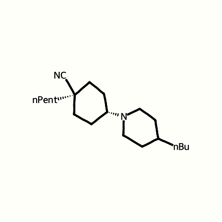 CCCCC[C@]1(C#N)CC[C@H](N2CCC(CCCC)CC2)CC1